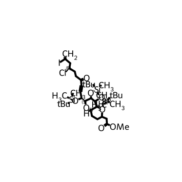 C=C(I)C[C@H](Cl)CCC(=O)C#CC(O[Si](C)(C)C(C)(C)C)[C@@H]1O[C@H]2CCC(CC(=O)OC)O[C@@H]2C(O[Si](C)(C)C(C)(C)C)C1O[Si](C)(C)C(C)(C)C